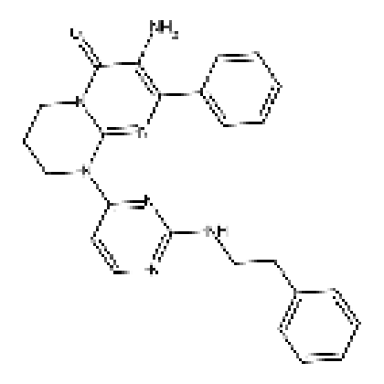 Nc1c(-c2ccccc2)nc2n(c1=O)CCCN2c1ccnc(NCCc2ccccc2)n1